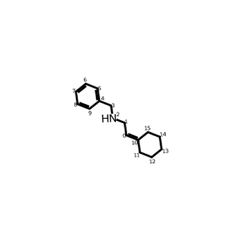 C(CNCc1ccccc1)=C1CCCCC1